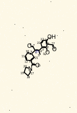 COc1c(/C(C)=C(\C=O)c2cccc(C(=O)N3CCCC3)c2)ccc(O)c1C=O